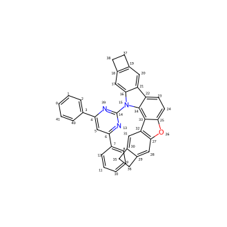 c1ccc(-c2cc(-c3ccccc3)nc(-n3c4cc5c(cc4c4ccc6oc7cc8c(cc7c6c43)CC8)CC5)n2)cc1